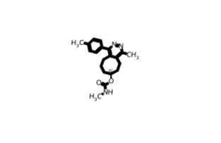 CNC(=O)O[C@H]1CCCc2c(-c3ccc(C)cc3)nnc(C)c2CC1